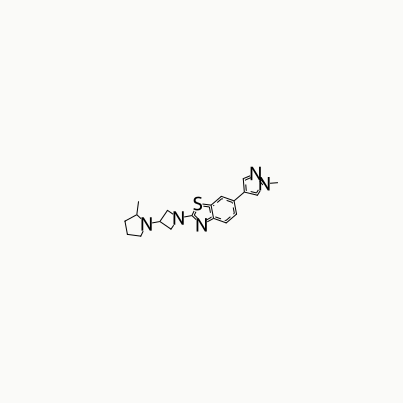 CC1CCCN1C1CN(c2nc3ccc(-c4cnn(C)c4)cc3s2)C1